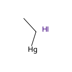 C[CH2][Hg].I